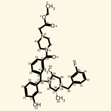 CCOC(=O)CN1CCN(C(=O)c2cccc([C@H](c3cccc(O)c3)N3C[C@@H](C)N(Cc4cccc(F)c4)C[C@@H]3C)c2)CC1